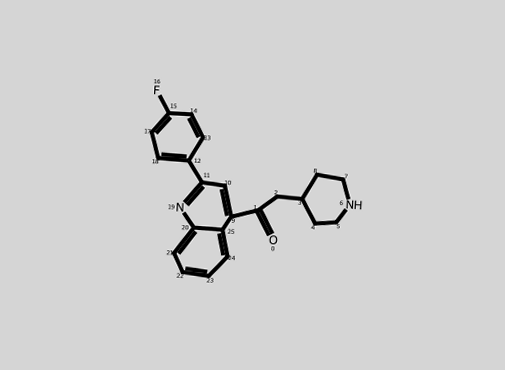 O=C(CC1CCNCC1)c1cc(-c2ccc(F)cc2)nc2ccccc12